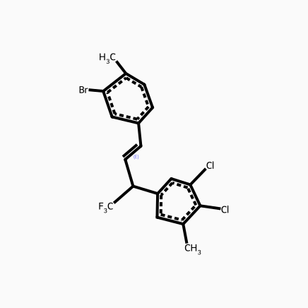 Cc1ccc(/C=C/C(c2cc(C)c(Cl)c(Cl)c2)C(F)(F)F)cc1Br